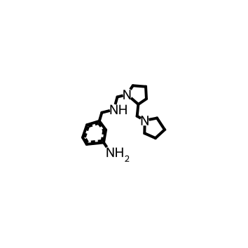 Nc1cccc(CNCN2CCCC2CN2CCCC2)c1